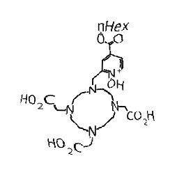 CCCCCCOC(=O)c1cc[n+](O)c(CN2CCN(CC(=O)O)CCN(CC(=O)O)CCN(CC(=O)O)CC2)c1